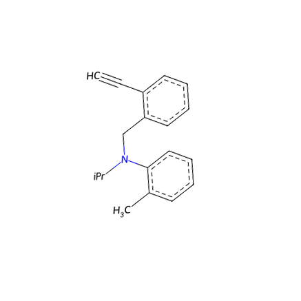 C#Cc1ccccc1CN(c1ccccc1C)C(C)C